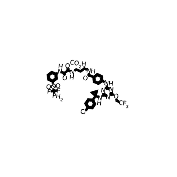 O=C(NCC[C@H](NC(=O)c1ccc(Nc2nc(NC3(c4ccc(Cl)cc4)CC3)nc(OCC(F)(F)F)n2)cc1)C(=O)O)C(=O)Nc1cccc(S(=O)(=O)C(F)(F)P)c1